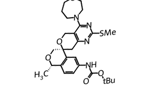 CSc1nc2c(c(N3CCCOCC3)n1)CO[C@@]1(CO[C@@H](C)c3ccc(NC(=O)OC(C)(C)C)cc31)C2